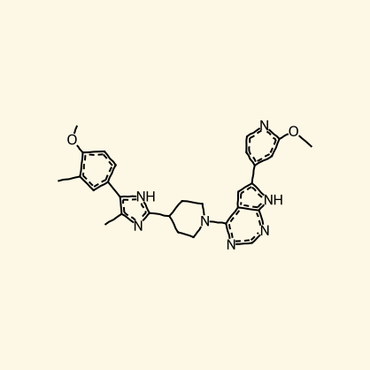 COc1cc(-c2cc3c(N4CCC(c5nc(C)c(-c6ccc(OC)c(C)c6)[nH]5)CC4)ncnc3[nH]2)ccn1